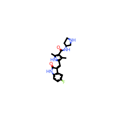 Cc1[nH]c(/C=C2\C(=O)Nc3ccc(F)cc32)c(C)c1C(=O)NC1CCNC1